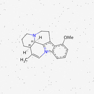 COc1cccc2c1c1c3n2C=C(C)[C@H]2CCCN(CC1)[C@@H]32